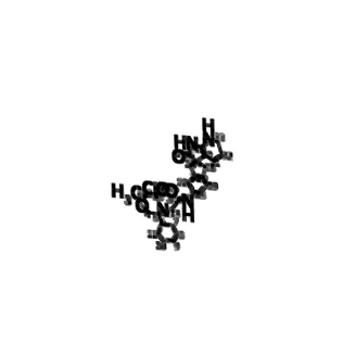 CC1(C)OCC(c2ccccc2)N(CC(=O)Nc2ccc3c(c2)CC2(C3)C(=O)NC3=C2C=CCN3)C1=O